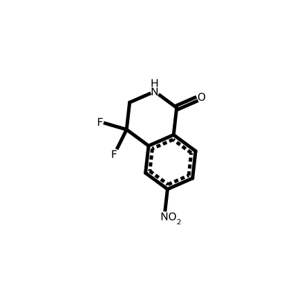 O=C1NCC(F)(F)c2cc([N+](=O)[O-])ccc21